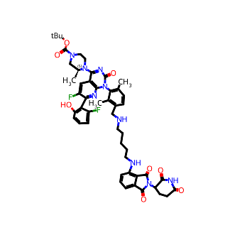 Cc1ccc(CNCCCCCNc2cccc3c2C(=O)N(C2CCC(=O)NC2=O)C3=O)c(C)c1-n1c(=O)nc(N2CCN(C(=O)OC(C)(C)C)C[C@@H]2C)c2cc(F)c(-c3c(O)cccc3F)nc21